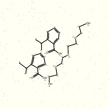 CC(C)c1ccccc1C(=O)O.CC(C)c1ccccc1C(=O)O.OCCOCCOCCOCCO